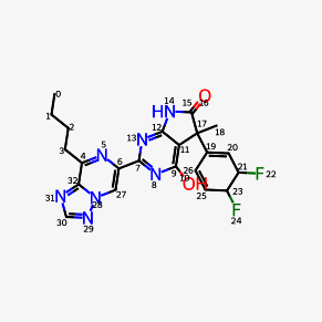 CCCCc1nc(-c2nc(O)c3c(n2)NC(=O)C3(C)C2=CC(F)C(F)C=C2)cn2ncnc12